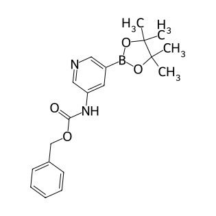 CC1(C)OB(c2cncc(NC(=O)OCc3ccccc3)c2)OC1(C)C